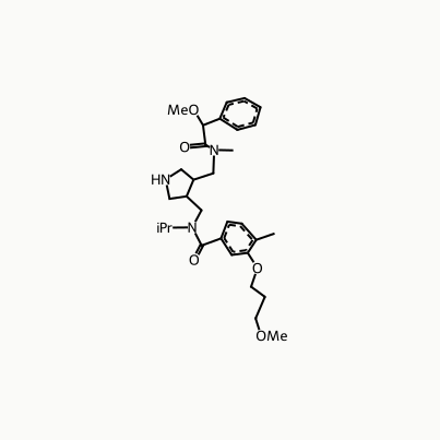 COCCCOc1cc(C(=O)N(CC2CNCC2CN(C)C(=O)C(OC)c2ccccc2)C(C)C)ccc1C